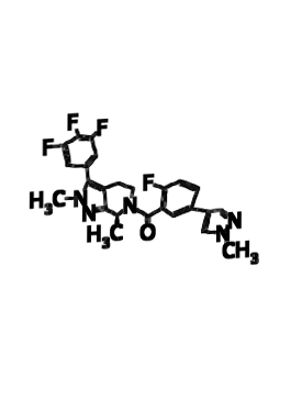 C[C@H]1c2nn(C)c(-c3cc(F)c(F)c(F)c3)c2CCN1C(=O)c1cc(-c2cnn(C)c2)ccc1F